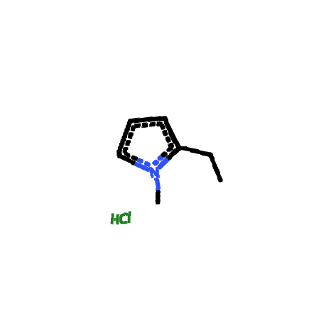 CCc1cccn1C.Cl